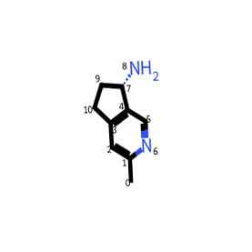 Cc1cc2c(cn1)[C@@H](N)CC2